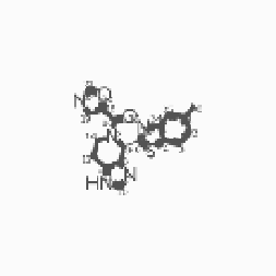 Cc1ccc2sc([C@@H]3c4nc[nH]c4CCN3C(=O)c3cnco3)nc2c1